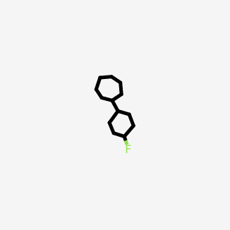 FC1CCC(C2CCCCCC2)CC1